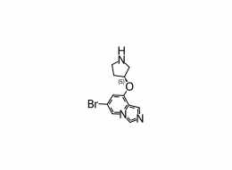 Brc1cc(O[C@H]2CCNC2)c2cncn2c1